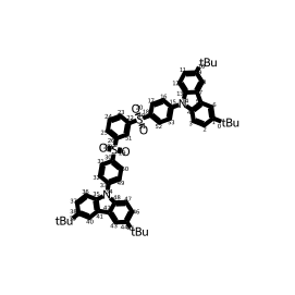 CC(C)(C)c1ccc2c(c1)c1cc(C(C)(C)C)ccc1n2-c1ccc(S(=O)(=O)c2cccc(S(=O)(=O)c3ccc(-n4c5ccc(C(C)(C)C)cc5c5cc(C(C)(C)C)ccc54)cc3)c2)cc1